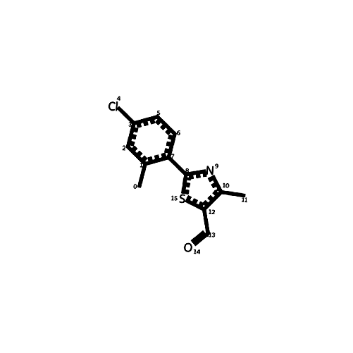 Cc1cc(Cl)ccc1-c1nc(C)c([C]=O)s1